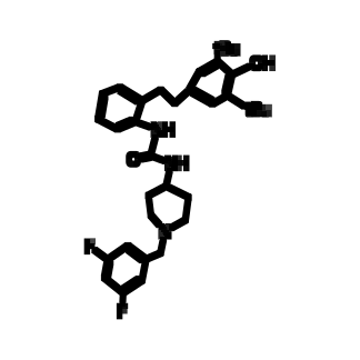 CC(C)(C)c1cc(CCc2ccccc2NC(=O)NC2CCN(Cc3cc(F)cc(F)c3)CC2)cc(C(C)(C)C)c1O